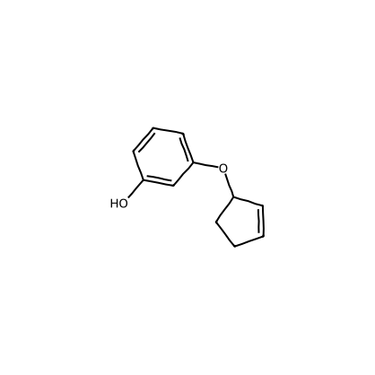 Oc1cccc(OC2C=CCC2)c1